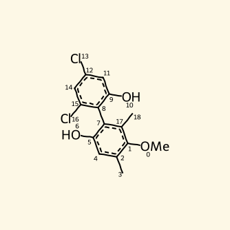 COc1c(C)cc(O)c(-c2c(O)cc(Cl)cc2Cl)c1C